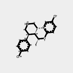 C[C@@H](Oc1ccc(Cl)cn1)[C@H]1CCNC[C@@H]1c1ccc(Cl)cc1